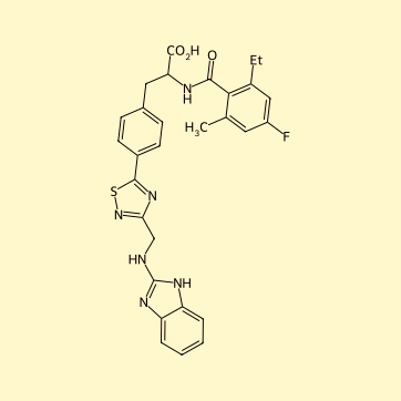 CCc1cc(F)cc(C)c1C(=O)NC(Cc1ccc(-c2nc(CNc3nc4ccccc4[nH]3)ns2)cc1)C(=O)O